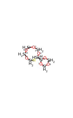 O1[SiH2]O[SiH2]O[SiH]([SiH]2O[SiH2]O[SiH2]O2)S[SiH2]O[SiH2]1